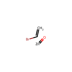 C=CBr.[O]=[Zn]